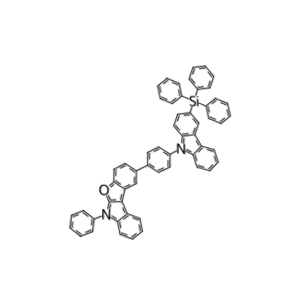 c1ccc(-n2c3ccccc3c3c4cc(-c5ccc(-n6c7ccccc7c7cc([Si](c8ccccc8)(c8ccccc8)c8ccccc8)ccc76)cc5)ccc4oc32)cc1